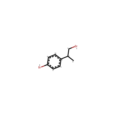 CC(CBr)c1ccc(Br)cc1